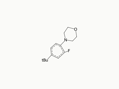 CC(C)(C)c1ccc(N2CCOCC2)c(F)c1